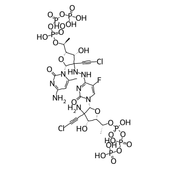 Cc1cc(N)nc(=O)n1[C@@H]1O[C@H]([C@H](C)OP(=O)(O)OP(=O)(O)OP(=O)(O)O)[C@H](O)C1(C#CCl)NNc1nc(=O)n([C@@H]2O[C@H]([C@@H](C)OP(=O)(O)OP(=O)(O)OP(=O)(O)O)[C@H](O)C2(N)C#CCl)cc1F